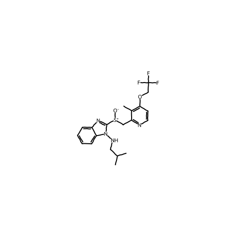 Cc1c(OCC(F)(F)F)ccnc1C[S+]([O-])c1nc2ccccc2n1NCC(C)C